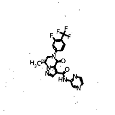 C[C@H]1CN(c2ccc(C(F)(F)F)c(F)c2)C(=O)c2c(C(=O)Nc3cnccn3)cnn21